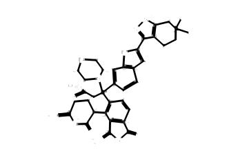 CNC(=O)CC(c1ccc2cc(-c3n[nH]c4c3CCC(C)(C)C4)[nH]c2c1)(c1ccc2c(c1C1CCC(=O)NC1=O)C(=O)NC2=O)N1CCNCC1